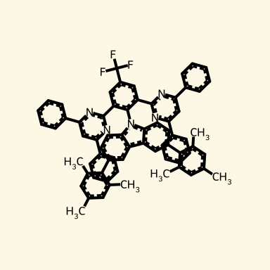 Cc1cc(C)c(-c2ccc3c(c2)c2cc(-c4c(C)cc(C)cc4C)ccc2n3-c2c(-c3nc(-c4ccccc4)cc(-c4ccccc4)n3)cc(C(F)(F)F)cc2-c2nc(-c3ccccc3)cc(-c3ccccc3)n2)c(C)c1